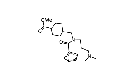 COC(=O)C1CCC(CN(CCCN(C)C)C(=O)c2ccco2)CC1